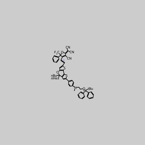 CCCCCCC1(CCCC)Oc2cc(/C=C/C3=C(C#N)C(=C(C#N)C#N)OC3(c3ccccc3)C(F)(F)F)sc2-c2sc(-c3ccc(N(C)CCO[Si](c4ccccc4)(c4ccccc4)C(C)(C)C)cc3)cc21